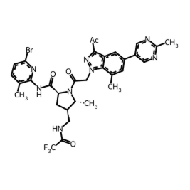 CC(=O)c1nn(CC(=O)N2[C@H](C)[C@@H](CNC(=O)C(F)(F)F)C[C@H]2C(=O)Nc2nc(Br)ccc2C)c2c(C)cc(-c3cnc(C)nc3)cc12